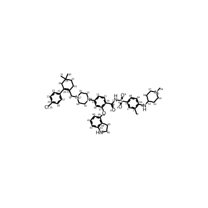 Cc1cc(S(=O)(=O)NC(=O)c2ccc(N3CCN(CC4=C(c5ccc(Cl)cc5)CC(C)(C)CC4)CC3)cc2Oc2cccc3c2CCN3)ccc1NC1CCN(C)CC1